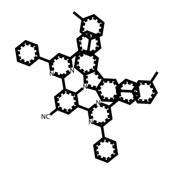 Cc1cccc(-c2ccc3c(c2)c2cc(-c4cccc(C)c4)ccc2n3-c2c(-c3nc(-c4ccccc4)cc(-c4ccccc4)n3)cc(C#N)cc2-c2nc(-c3ccccc3)cc(-c3ccccc3)n2)c1